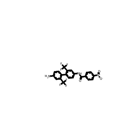 Nc1ccc(-c2ccc(NC(=O)c3ccc([N+](=O)[O-])cc3)cc2C(F)(F)F)c(C(F)(F)F)c1